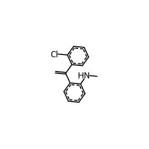 C=C(c1ccccc1Cl)c1ccccc1NC